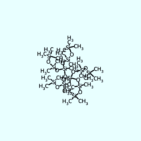 C[Si](C)(C)O[Si](C)(C)O[Si](C)(O[Si](C)(C)O[Si](C)(C)C)O[Si](O[Si](C)(C)O[Si](C)(C)C)(O[Si](C)(C)O[Si](C)(C)C)O[Si](C)(C)O[Si](C)(C)C